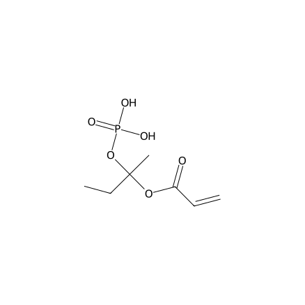 C=CC(=O)OC(C)(CC)OP(=O)(O)O